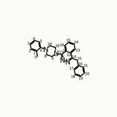 Cc1ccccc1N1CCN(c2nnc(Cc3ccccc3)c3ccccc23)CC1